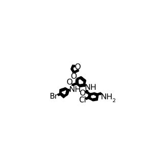 NCc1ccc(Cl)c(C(=O)Nc2ccc(OC3CCOC3)c(C(=O)Nc3ccc(Br)cc3)c2)c1